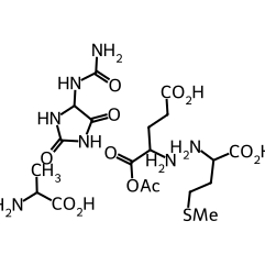 CC(=O)OC(=O)C(N)CCC(=O)O.CC(N)C(=O)O.CSCCC(N)C(=O)O.NC(=O)NC1NC(=O)NC1=O